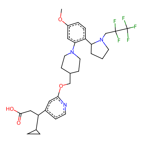 COc1ccc(C2CCCN2CC(F)(F)C(F)(F)F)c(N2CCC(COc3cc(C(CC(=O)O)C4CC4)ccn3)CC2)c1